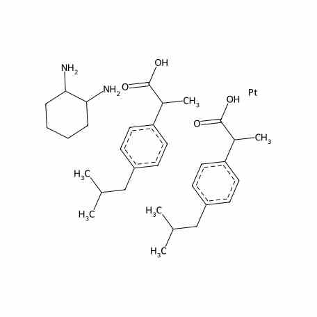 CC(C)Cc1ccc(C(C)C(=O)O)cc1.CC(C)Cc1ccc(C(C)C(=O)O)cc1.NC1CCCCC1N.[Pt]